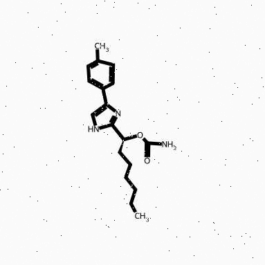 CCCCCC[C@H](OC(N)=O)c1nc(-c2ccc(C)cc2)c[nH]1